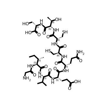 CC[C@H](C)[C@H](NC(=O)CN)C(=O)N[C@H](C(=O)N[C@@H](CCC(=O)O)C(=O)N[C@@H](CCC(N)=O)C(=O)N[C@@H](CS)C(=O)N[C@@H](CS)C(=O)N[C@H](C(=O)N[C@@H](CO)C(=O)O)[C@@H](C)O)C(C)C